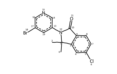 CC1(C)c2cc(Cl)ccc2C(=O)N1c1cncc(Br)c1